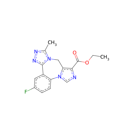 CCOC(=O)c1ncn2c1Cn1c(C)nnc1-c1cc(F)ccc1-2